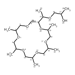 CCC(C)OCC(C)OCC(C)OCC(C)OCC(C)OCC(C)OCC(C)OCC(C)O